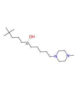 CN1CCN(CCCCC[C@@H](O)CCCC(C)(C)C)CC1